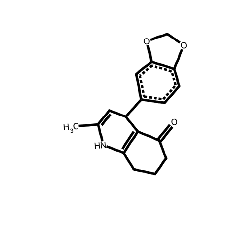 CC1=CC(c2ccc3c(c2)OCO3)C2=C(CCCC2=O)N1